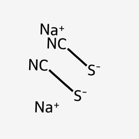 N#C[S-].N#C[S-].[Na+].[Na+]